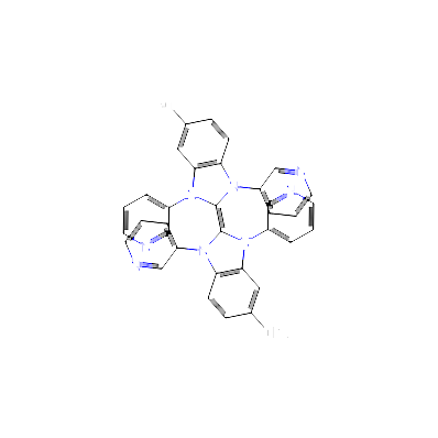 CC(C)(C)c1ccc2c(c1)N(c1cccnc1)/C(=C1\N(c3cccnc3)c3ccc(C(C)(C)C)cc3N1c1cccnc1)N2c1cccnc1